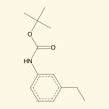 CCc1c[c]cc(NC(=O)OC(C)(C)C)c1